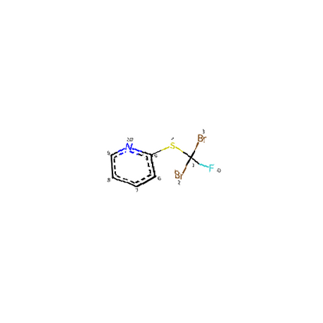 FC(Br)(Br)Sc1ccccn1